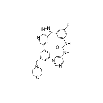 O=C(Nc1cncnc1)Nc1cc(F)cc(-c2n[nH]c3ncc(-c4cccc(CN5CCOCC5)c4)cc23)c1